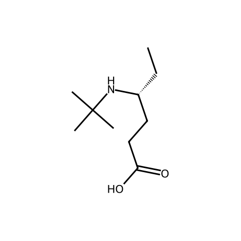 CC[C@H](CCC(=O)O)NC(C)(C)C